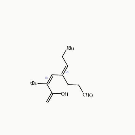 C=C(O)/C(=C\C(=C/CC(C)(C)C)CCC=O)C(C)(C)C